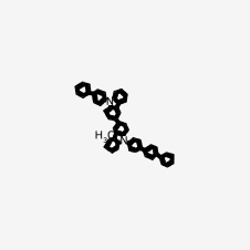 CC12C=CC=CC1N(c1ccc(-c3ccc(-c4ccccc4)cc3)cc1)C1=C2C=C(c2ccc3c(c2)c2ccccc2n3-c2ccc(-c3ccccc3)cc2)CC1